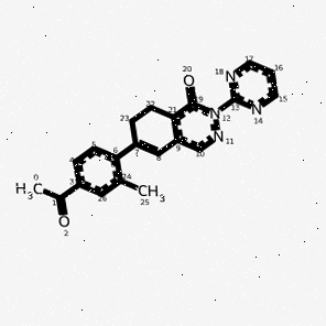 CC(=O)c1ccc(C2=Cc3cnn(-c4ncccn4)c(=O)c3CC2)c(C)c1